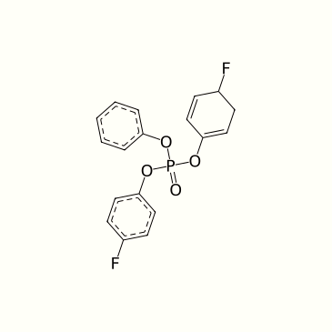 O=P(OC1=CCC(F)C=C1)(Oc1ccccc1)Oc1ccc(F)cc1